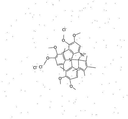 COc1cc(C)c([Si](c2c(C)cc(OC)c(OC)c2C)(c2c(C)cc(OC)c(OC)c2C)[C]2([Ti+3])C(C)=C(C)C(C)=C2C)c(C)c1OC.[Cl-].[Cl-].[Cl-]